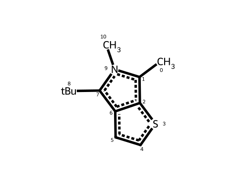 Cc1c2sccc2c(C(C)(C)C)n1C